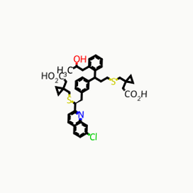 CC(O)Cc1ccccc1C(CCSCC1(CC(=O)O)CC1)c1cccc(C[C@H](SCC2(CC(=O)O)CC2)c2ccc3ccc(Cl)cc3n2)c1